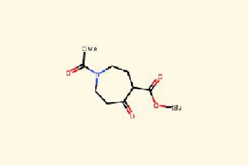 COC(=O)N1CCC(=O)C(C(=O)OC(C)(C)C)CC1